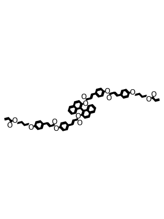 C=CC(=O)OCCCCOc1ccc(/C=C/C(=O)Oc2ccc(/C=C/C(=O)Oc3ccc4ccccc4c3-c3c(OC(=O)/C=C/c4ccc(OC(=O)/C=C/c5ccc(OCCCCOC(=O)C=C)cc5)cc4)ccc4ccccc34)cc2)cc1